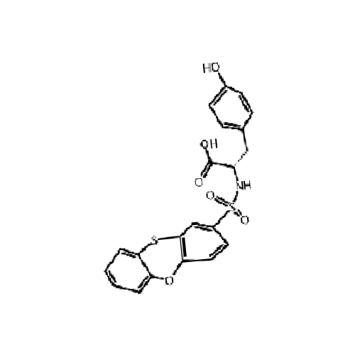 O=C(O)[C@H](Cc1ccc(O)cc1)NS(=O)(=O)c1ccc2c(c1)Sc1ccccc1O2